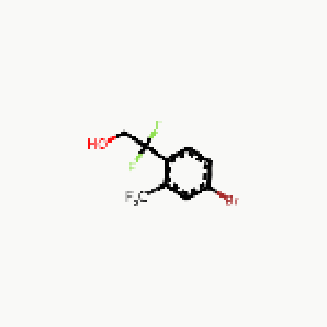 OCC(F)(F)c1ccc(Br)cc1C(F)(F)F